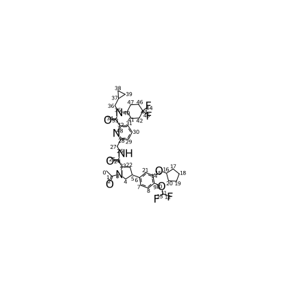 CC(=O)N1CC(c2ccc(OC(F)F)c(OC3CCCC3)c2)C[C@@H]1C(=O)NCc1cccc(C(=O)N(CC2CC2)C2CCC(F)(F)CC2)n1